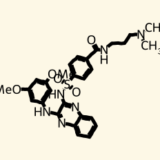 COc1cc(Nc2nc3ccccc3nc2NS(=O)(=O)c2ccc(C(=O)NCCCN(C)C)cc2)cc(OC)c1